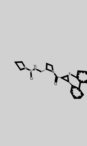 O=C([C@@H]1C[C@H]1c1ccccc1-c1c(F)cccc1F)N1CC[C@H]1CN[S+]([O-])N1CCC1